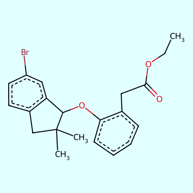 CCOC(=O)Cc1ccccc1OC1c2cc(Br)ccc2CC1(C)C